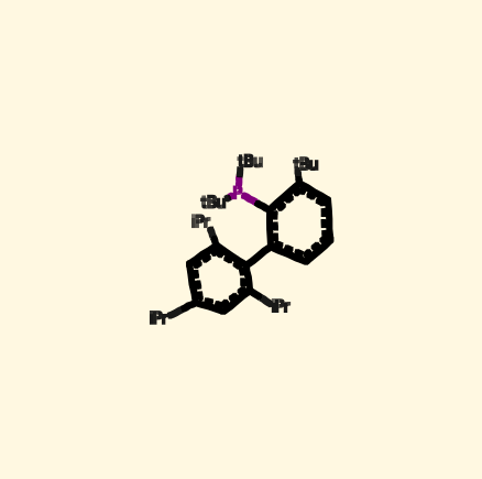 CC(C)c1cc(C(C)C)c(-c2cccc(C(C)(C)C)c2P(C(C)(C)C)C(C)(C)C)c(C(C)C)c1